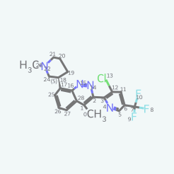 Cc1c(-c2ncc(C(F)(F)F)cc2Cl)nnc2c([C@@H]3CCCN(C)C3)cccc12